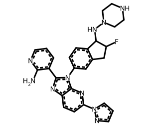 Nc1ncccc1-c1nc2ccc(-n3cccn3)nc2n1-c1ccc2c(c1)CC(F)C2NN1CCNCC1